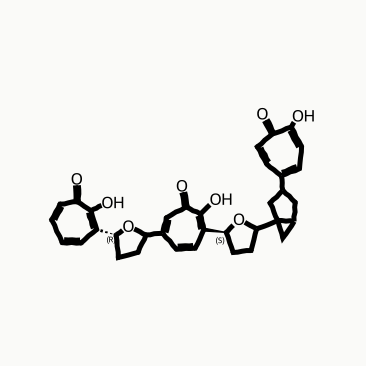 O=c1ccc(C2CC3CC3(C3CC[C@@H](c4ccc(C5CC[C@H](c6ccccc(=O)c6O)O5)cc(=O)c4O)O3)C2)ccc1O